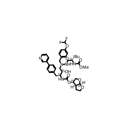 COC(=O)N[C@H](C(=O)NN(Cc1ccc(OC(F)F)cc1)C[C@H](O)[C@H](Cc1ccc(-c2cccnc2)cc1)NC(=O)O[C@H]1CO[C@H]2OCC[C@H]21)C(C)(C)C